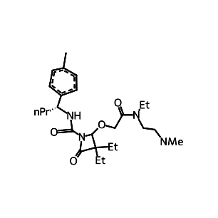 CCC[C@@H](NC(=O)N1C(=O)C(CC)(CC)C1OCC(=O)N(CC)CCNC)c1ccc(C)cc1